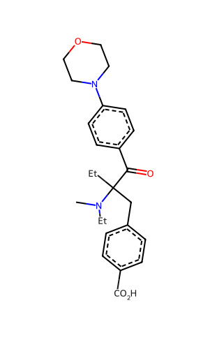 CCN(C)C(CC)(Cc1ccc(C(=O)O)cc1)C(=O)c1ccc(N2CCOCC2)cc1